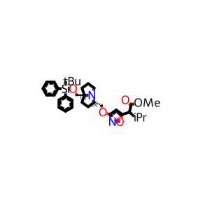 COC(=O)C(c1cc(OC[C@@H]2CC[C@]3(CO[Si](c4ccccc4)(c4ccccc4)C(C)(C)C)CCCN23)no1)C(C)C